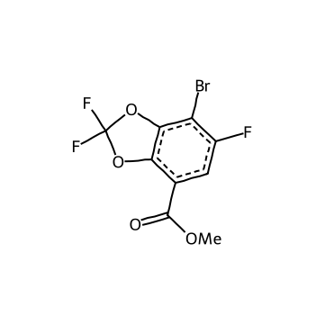 COC(=O)c1cc(F)c(Br)c2c1OC(F)(F)O2